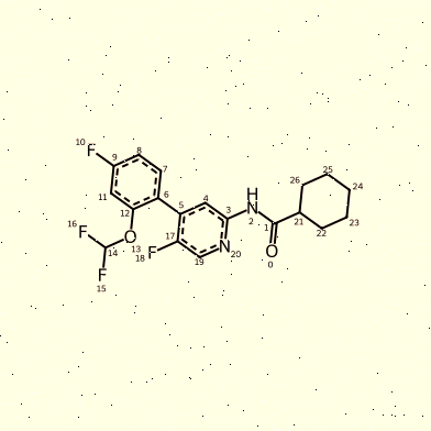 O=C(Nc1cc(-c2ccc(F)cc2OC(F)F)c(F)cn1)C1CCCCC1